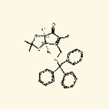 CC1(C)O[C@@H]2C(COC(c3ccccc3)(c3ccccc3)c3ccccc3)=C(F)C(=O)[C@@H]2O1